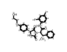 C[C@@H](c1ccccc1)[C@@H](C(=O)Nc1ccc(I)cc1F)N1C(=O)N[C@@H](c2ccc(OCCO)cc2)C1=O